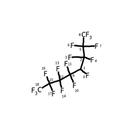 FC(C(F)(F)C(F)(F)C(F)(F)F)C(F)(F)C(F)(F)C(F)(F)C(F)(F)F